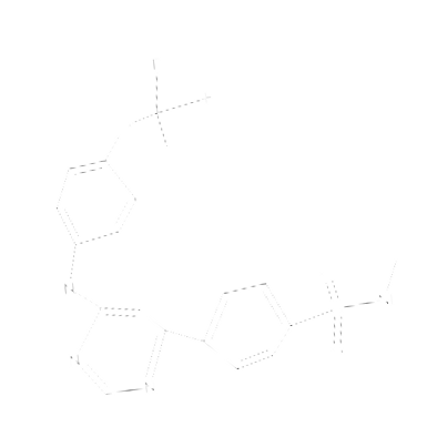 CNS(=O)(=O)c1ccc(-c2cc(Nc3ccc(OC(F)(F)F)cc3)ncn2)cc1